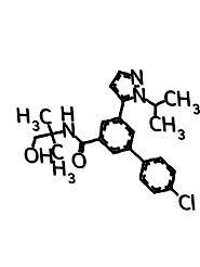 CC(C)n1nccc1-c1cc(C(=O)NC(C)(C)CO)cc(-c2ccc(Cl)cc2)c1